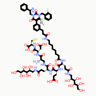 Cc1c(-c2cccc(CCC(=O)NCCCCCCCC(=O)N[C@H](CCC(=O)NC[C@H](O)[C@@H](O)[C@H](O)[C@H](O)CO)C(=O)N[C@H](CCC(=O)O)C(=O)N[C@H](CCC(=O)NC[C@H](O)[C@@H](O)[C@H](O)[C@H](O)CO)C(=O)NC[C@H](N)C(=O)N[C@@H](CC(=O)O)C(=O)N[C@@H](CS)C(=O)O)c2)c(=O)n(C[C@H](N)c2ccccc2)c(=O)n1Cc1c(F)cccc1F